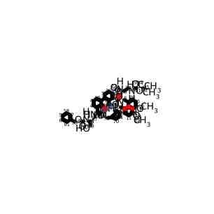 COc1ccc(CN(Cc2ccc(OC)cc2)S(=O)(=O)c2c(S(=O)(=O)NCCNC(=O)OC(C)(C)C)ccc(-c3cccc(C(=O)NC[C@H](CO)NC(=O)OCc4ccccc4)c3N)c2C2=N/c3cc(ccc3OC)CN/N=N\2)cc1